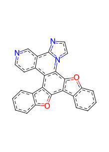 c1ccc2c(c1)oc1c2c2oc3ccccc3c2c2c3ccncc3c3nccn3c12